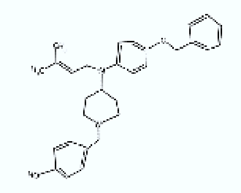 CC(C)=CCN(c1ccc(OCc2ccccc2)cc1)C1CCN(Cc2ccc(O)cc2)CC1